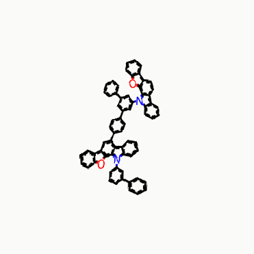 c1ccc(-c2cc(-c3ccc(-c4cc5c6ccccc6oc5c5c4c4ccccc4n5-c4cccc(-c5ccccc5)c4)cc3)cc(-n3c4ccccc4c4ccc5c6ccccc6oc5c43)c2)cc1